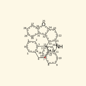 c1ccc2c(c1)C1c3ccccc3C23c2c(cccc21)Nc1ccc2oc4ccccc4c2c13